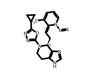 CC1=CC=CN(N=S)/C1=C\C[C@H]1c2nc[nH]c2CCN1c1nnc(C2CC2)o1